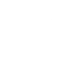 CCCC(=O)CCCCC(=O)CCC